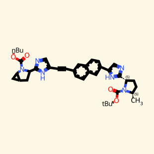 CCCCOC(=O)N1C(c2ncc(C#Cc3ccc4cc(-c5cnc([C@@H]6CC[C@H](C)N6C(=O)OC(C)(C)C)[nH]5)ccc4c3)[nH]2)CC2CC21